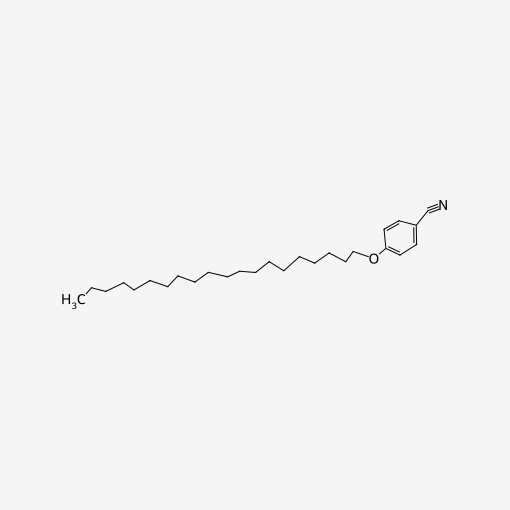 CCCCCCCCCCCCCCCCCCCCOc1ccc(C#N)cc1